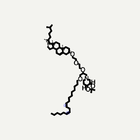 CCCCC/C=C\C/C=C\CCCCCCCCOCC(CN1CC[C@H]2OC(C)(C)O[C@H]2C1)OCCOCCO[C@H]1CC[C@@]2(C)C(=CCC3C2CC[C@@]2(C)C3CC[C@@H]2[C@H](C)CCCC(C)C)C1